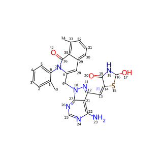 Cc1ccccc1-n1c(Cn2nc(/C=C3/SC(O)NC3=O)c3c(N)ncnc32)cc2cccc(C)c2c1=O